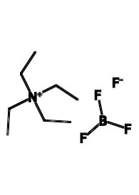 CC[N+](CC)(CC)CC.FB(F)F.[F-]